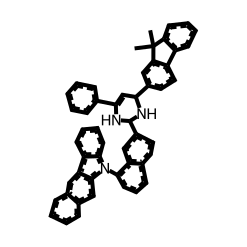 CC1(C)c2ccccc2-c2ccc(C3C=C(c4ccccc4)NC(c4ccc5cccc(-n6c7ccccc7c7cc8ccccc8cc76)c5c4)N3)cc21